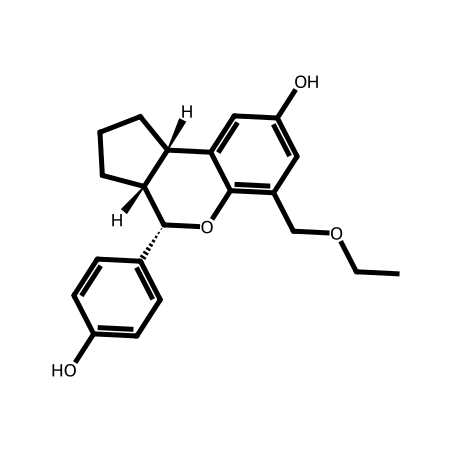 CCOCc1cc(O)cc2c1O[C@H](c1ccc(O)cc1)[C@@H]1CCC[C@H]21